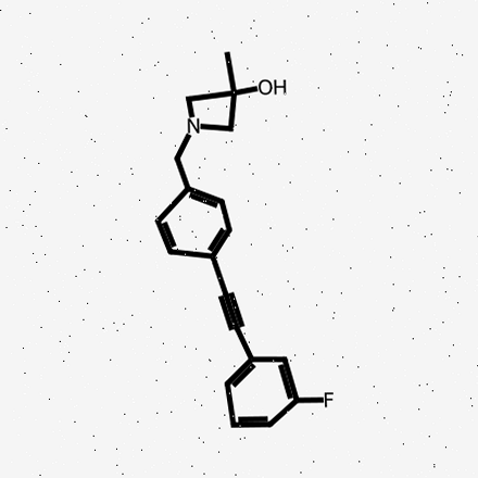 CC1(O)CN(Cc2ccc(C#Cc3cccc(F)c3)cc2)C1